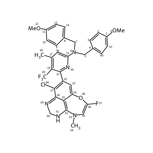 COc1ccc(CN(Cc2ccc(OC)cc2)c2cc(C)c(C(F)(F)F)c(-c3cc4c5c(c3Cl)=NCNC=5N(C)C=C(F)O4)n2)cc1